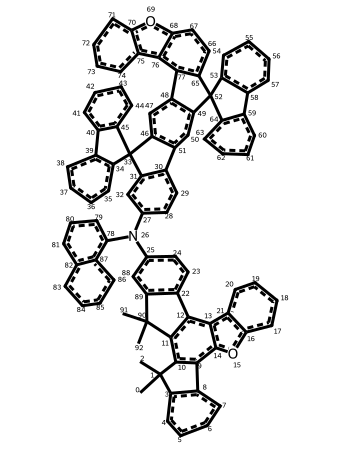 CC1(C)c2ccccc2-c2c1c1c(c3c2oc2ccccc23)-c2ccc(N(c3ccc4c(c3)C3(c5ccccc5-c5ccccc53)c3cc5c(cc3-4)C3(c4ccccc4-c4ccccc43)c3ccc4oc6ccccc6c4c3-5)c3cccc4ccccc34)cc2C1(C)C